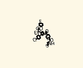 CCN(C(=O)Oc1ccc(F)cc1)[C@@H]1CN(C(=O)C2CCN(C(=O)[C@@H]3CC(=O)N3)CC2)C[C@H]1c1ccc(Cl)cc1